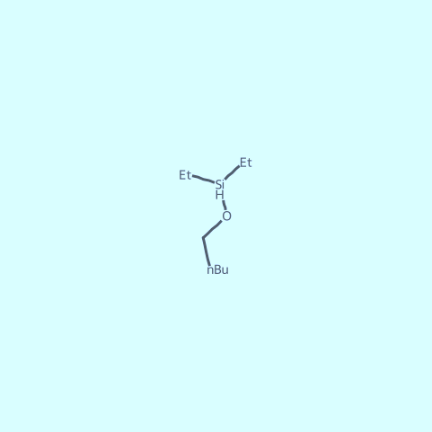 CCCCCO[SiH](CC)CC